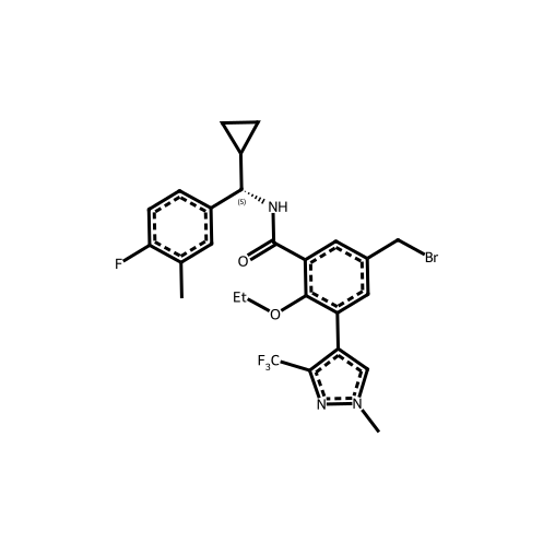 CCOc1c(C(=O)N[C@H](c2ccc(F)c(C)c2)C2CC2)cc(CBr)cc1-c1cn(C)nc1C(F)(F)F